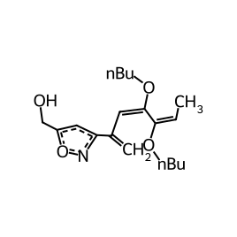 C=C(/C=C(OCCCC)\C(=C/C)OCCCC)c1cc(CO)on1